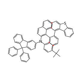 CC(C)(C)c1ccc(N(c2ccc3c(c2)-c2ccccc2C3(c2ccccc2)c2ccccc2)c2ccc3ccccc3c2-c2ccccc2-c2cccc3sc4ccccc4c23)cc1